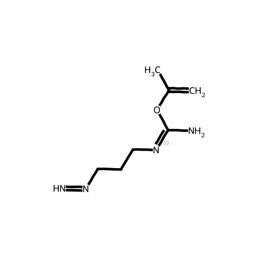 C=C(C)O/C(N)=N\CCCN=N